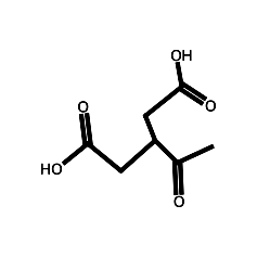 CC(=O)C(CC(=O)O)CC(=O)O